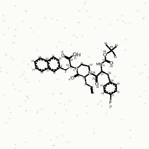 C=CCC1C(=O)N([C@@H](Cc2ccc3ccccc3c2)C(=O)O)CCN1C(=O)C(Cc1ccc(F)cc1)NC(=O)OC(C)(C)C